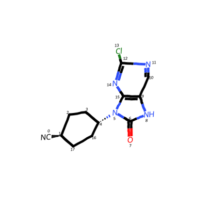 N#C[C@H]1CC[C@H](n2c(=O)[nH]c3cnc(Cl)nc32)CC1